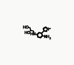 Cn1ccc(-c2cc(NCC(O)CO)ccc2N)c1